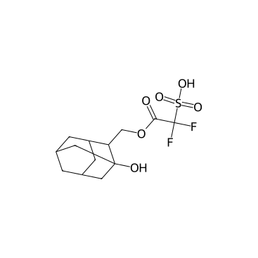 O=C(OCC1C2CC3CC(C2)CC1(O)C3)C(F)(F)S(=O)(=O)O